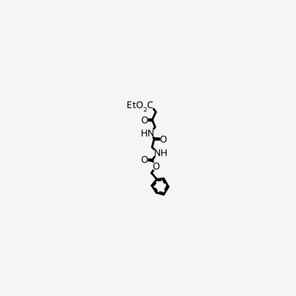 CCOC(=O)CC(=O)CNC(=O)CNC(=O)OCc1ccccc1